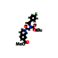 COC(=O)c1ccc2c(c1)CN(C(=O)CN(C(=O)OC(C)(C)C)C1CC1c1ccc(F)cc1)CC2